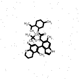 Cc1cc2[nH]ccc2c(-c2cc(F)c3c(c2C)CCCO3)c1[C@H](OC(C)(C)C)C(=O)OC1CC(C)CCC1C(C)C